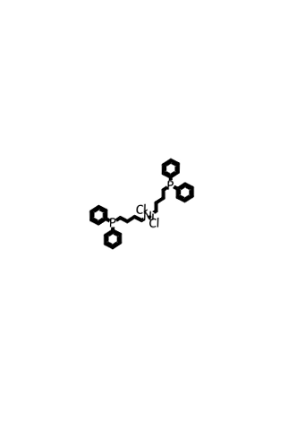 [Cl][Ni]([Cl])([CH2]CCCP(c1ccccc1)c1ccccc1)[CH2]CCCP(c1ccccc1)c1ccccc1